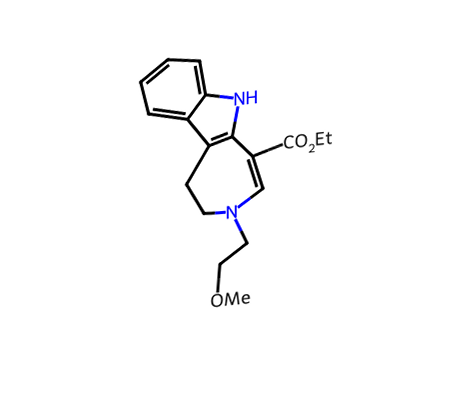 CCOC(=O)C1=CN(CCOC)CCc2c1[nH]c1ccccc21